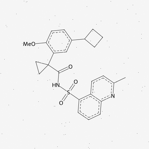 COc1ccc(C2CCC2)cc1C1(C(=O)NS(=O)(=O)c2cccc3nc(C)ccc23)CC1